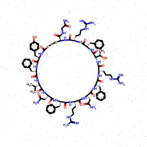 CC(C)[C@@H]1NC(=O)[C@H](Cc2ccccc2)NC(=O)[C@@H](Cc2ccc(O)cc2)NC(=O)CSC[C@@H](C(=O)NCC(N)=O)NC(=O)[C@H](CCCNC(=N)N)NC(=O)[C@H](Cc2ccccc2)NC(=O)[C@H]([C@@H](C)O)NC(=O)[C@H](CCCNC(=N)N)NC(=O)[C@H](Cc2ccccc2)NC(=O)[C@H](CC(N)=O)NC(=O)[C@H](CCCNC(=N)N)NC(=O)[C@H](Cc2ccccc2)NC(=O)[C@H](CC(N)=O)NC1=O